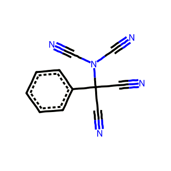 N#CN(C#N)C(C#N)(C#N)c1ccccc1